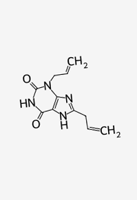 C=CCc1nc2c([nH]1)c(=O)[nH]c(=O)n2CC=C